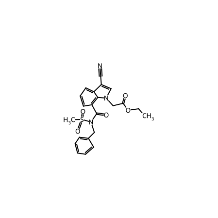 CCOC(=O)Cn1cc(C#N)c2cccc(C(=O)N(Cc3ccccc3)S(C)(=O)=O)c21